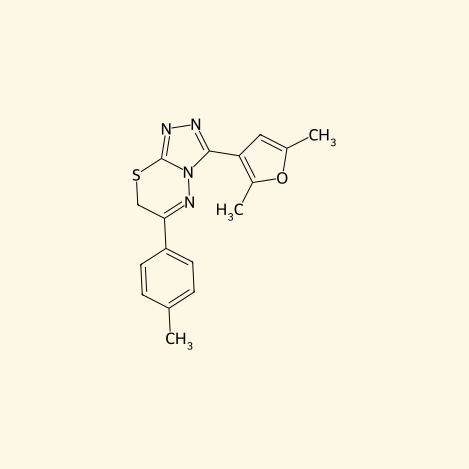 Cc1ccc(C2=Nn3c(nnc3-c3cc(C)oc3C)SC2)cc1